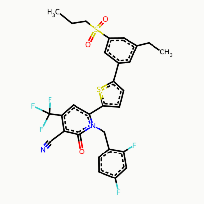 CCCS(=O)(=O)c1cc(CC)cc(-c2ccc(-c3cc(C(F)(F)F)c(C#N)c(=O)n3Cc3ccc(F)cc3F)s2)c1